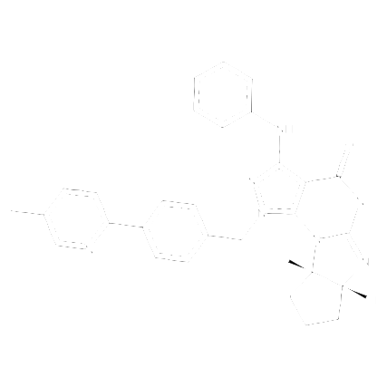 Cc1ccc(-c2ccc(Cn3nc(Nc4ccccc4)c4c3N3C(=N[C@@H]5CCC[C@@H]53)NC4=O)cc2)nc1